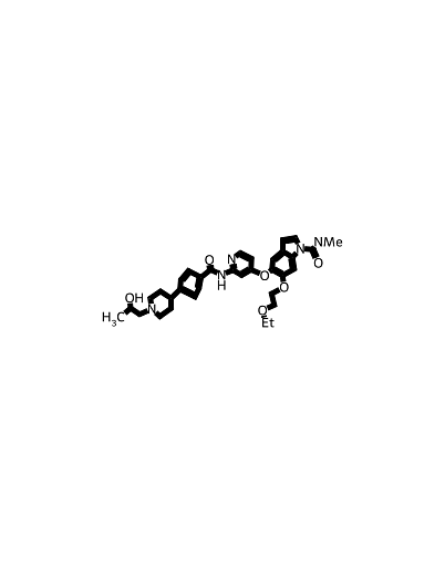 CCOCCOc1cc2c(ccn2C(=O)NC)cc1Oc1ccnc(NC(=O)c2ccc(C3CCN(CC(C)O)CC3)cc2)c1